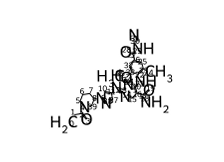 C=CC(=O)N1CCCC(n2cc(Nc3ncc(C(N)=O)c(Nc4c(C)cc(C(=O)NC#N)cc4OC)n3)cn2)C1